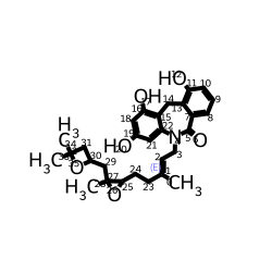 C/C(=C\CN1C(=O)c2cccc(O)c2Cc2c(O)cc(O)cc21)CCC1OC1(C)CC1CC(C)(C)O1